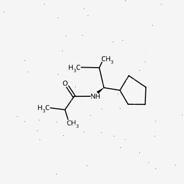 CC(C)C(=O)N[C@@H](C(C)C)C1CCCC1